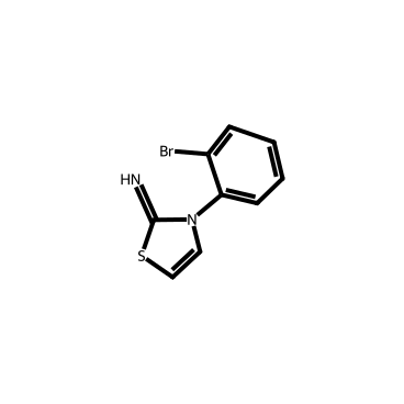 N=c1sccn1-c1ccccc1Br